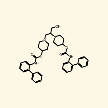 O=C(Nc1ccccc1-c1ccccc1)OC1CCN(CC(CO)N2CCC(OC(=O)Nc3ccccc3-c3ccccc3)CC2)CC1